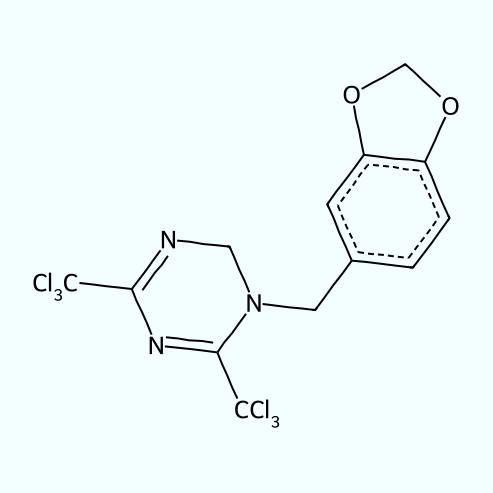 ClC(Cl)(Cl)C1=NCN(Cc2ccc3c(c2)OCO3)C(C(Cl)(Cl)Cl)=N1